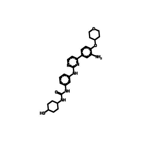 Nc1cc(-c2ccnc(Nc3cccc(NC(=O)NC4CCC(O)CC4)c3)n2)ccc1OC1CCOCC1